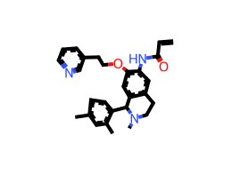 C=CC(=O)Nc1cc2c(cc1OCCc1cccnc1)C(c1ccc(C)cc1C)N(C)CC2